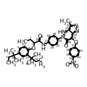 CCC(Oc1ccc(C(C)(C)CC)cc1C(C)(C)CC)C(=O)Nc1ccc(-n2[nH]c3c(C)nnc-3c(Oc3ccc([N+](=O)[O-])cc3)c2=O)cc1